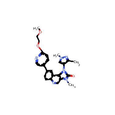 COCCOc1ccc(-c2ccc3ncc4c(c3c2)n(-c2cn(C)nc2C)c(=O)n4C)cn1